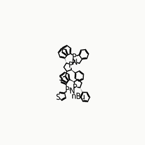 CCCCN(P(c1ccsc1)c1csc(C2C[C@H](c3ccccc3)P(N3Cc4ccccc4P3c3ccccc3)[C@H]2c2ccccc2)c1)P1[C@@H](c2ccccc2)CC[C@@H]1c1ccccc1